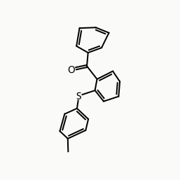 Cc1ccc(Sc2ccccc2C(=O)c2ccccc2)cc1